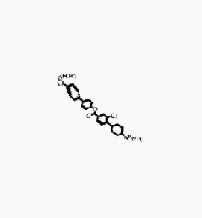 CCCCCCCCCOc1ccc(-c2ccc(OC(=O)c3ccc(C4CCC(CCCCC)CC4)c(Cl)c3)cc2)cc1